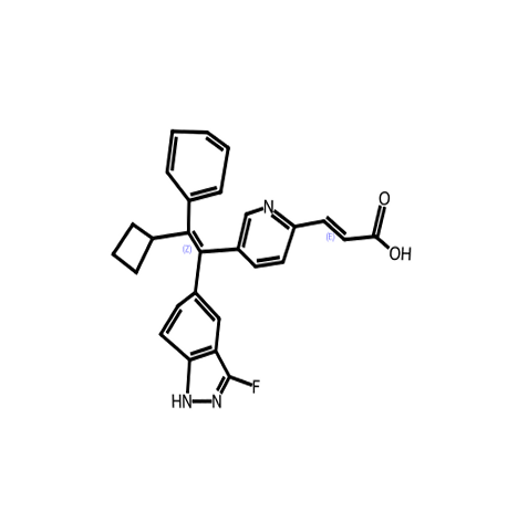 O=C(O)/C=C/c1ccc(/C(=C(\c2ccccc2)C2CCC2)c2ccc3[nH]nc(F)c3c2)cn1